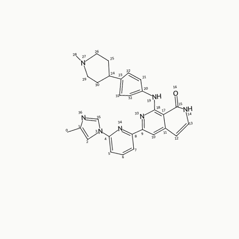 Cc1cn(-c2cccc(-c3cc4cc[nH]c(=O)c4c(Nc4ccc(C5CCN(C)CC5)cc4)n3)n2)cn1